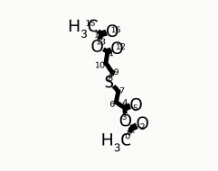 CC(=O)OC(=O)CCSCCC(=O)OC(C)=O